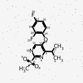 CC(C)c1nc(S(C)(=O)=O)ncc1Oc1ccc(F)cc1F